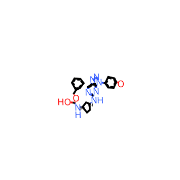 COc1ccc(-n2nnc3cnc(N[C@H]4CC[C@@H](NC(O)OCc5ccccc5)C4)nc32)cc1